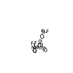 FC[C@@H]1CCCN1[C@H]1CC[C@@H](COc2cc(-n3c(C(F)F)nc4ccccc43)nc(N3CCOCC3)n2)CC1